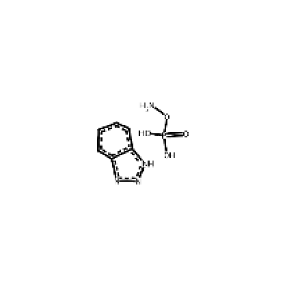 NOP(=O)(O)O.c1ccc2[nH]nnc2c1